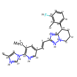 COc1cc(/C=C/c2nc3n(n2)CCC[C@@H]3c2cccc(F)c2C)cnc1-n1cnc(C)c1